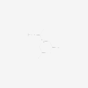 CC1CN(C(C)O)CC(C)O1